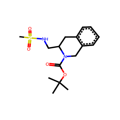 CC(C)(C)OC(=O)N1Cc2ccccc2CC1CNS(C)(=O)=O